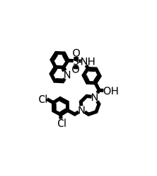 O=S(=O)(Nc1ccc(C(O)N2CCCN(Cc3ccc(Cl)cc3Cl)CC2)cc1)c1cccc2cccnc12